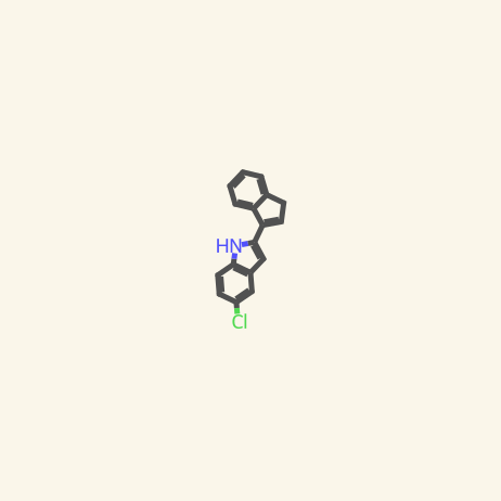 Clc1ccc2[nH]c(C3=CCc4ccccc43)cc2c1